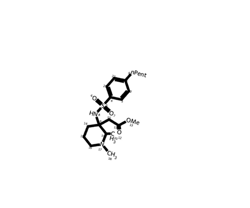 CCCCCc1ccc(S(=O)(=O)NC2(CC(=O)OC)CCCN(C)C2C)cc1